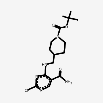 CC(C)(C)OC(=O)N1CCC(CNc2nc(Cl)ncc2C(N)=O)CC1